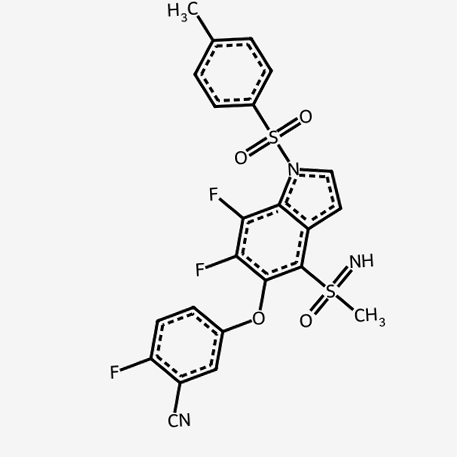 Cc1ccc(S(=O)(=O)n2ccc3c(S(C)(=N)=O)c(Oc4ccc(F)c(C#N)c4)c(F)c(F)c32)cc1